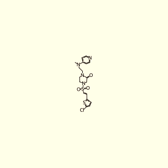 CN(CCN1CCN(S(=O)(=O)C=Cc2ccc(Cl)s2)CC1=O)c1ccncc1